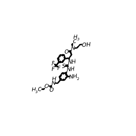 CCOC(=O)NCc1ccc(NC(=S)NC(CC(=O)N(CC)CCO)c2cccc(C(F)(F)F)c2)c(N)c1